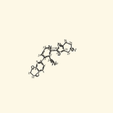 N#Cc1c(-c2ccc3c(c2)OCCO3)ccnc1-c1nc2c(s1)CNCC2